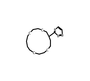 b1bc(C2CCCCCCCCCCCCCCC2)bcc1